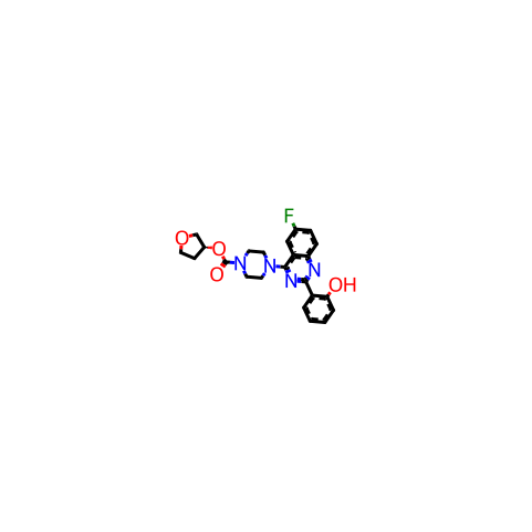 O=C(O[C@H]1CCOC1)N1CCN(c2nc(-c3ccccc3O)nc3ccc(F)cc23)CC1